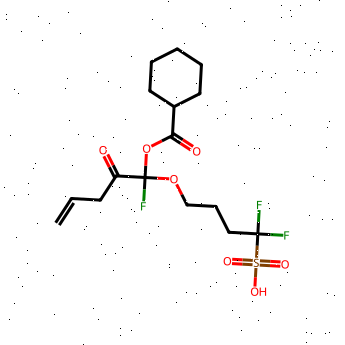 C=CCC(=O)C(F)(OCCCC(F)(F)S(=O)(=O)O)OC(=O)C1CCCCC1